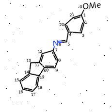 COc1ccc(C=Nc2ccc3c(c2)Cc2ccccc2-3)cc1